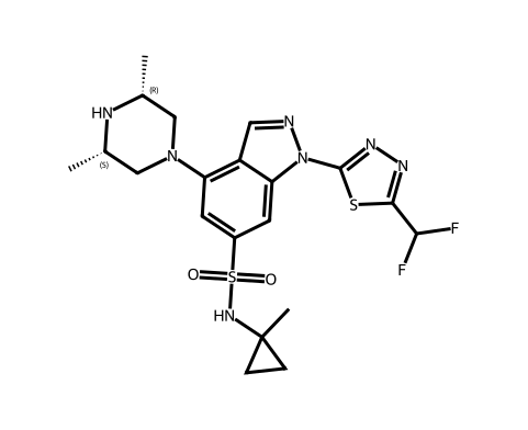 C[C@@H]1CN(c2cc(S(=O)(=O)NC3(C)CC3)cc3c2cnn3-c2nnc(C(F)F)s2)C[C@H](C)N1